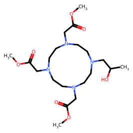 COC(=O)CN1CCN(CC(=O)OC)CCN(CC(C)O)CCN(CC(=O)OC)CC1